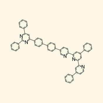 c1ccc(-c2ccnc(-c3cc(-c4ccccc4)cc(-c4ccc(-c5ccc(-c6ccc(-c7cc(-c8ccccc8)nc(-c8ccccc8)n7)cc6)cc5)cn4)n3)c2)cc1